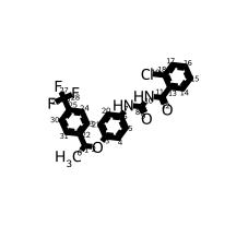 CC(Oc1ccc(NC(=O)NC(=O)c2ccccc2Cl)cc1)c1ccc(C(F)(F)F)cc1